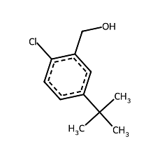 CC(C)(C)c1ccc(Cl)c(CO)c1